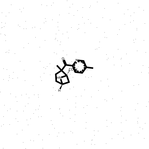 Cc1ccc(C(=O)C2(C)CC[C@H]3C[C@@]2(C(=O)O)N3)nc1